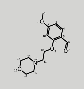 COc1ccc(C=O)c(OCCN2CCOCC2)c1